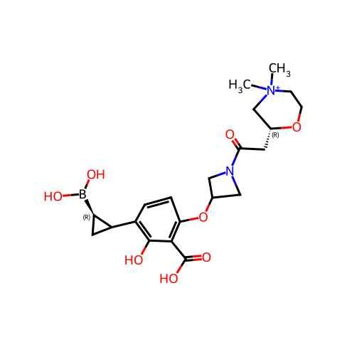 C[N+]1(C)CCO[C@H](CC(=O)N2CC(Oc3ccc(C4C[C@H]4B(O)O)c(O)c3C(=O)O)C2)C1